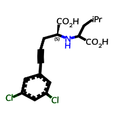 CC(C)CC(N[C@@H](CC#Cc1cc(Cl)cc(Cl)c1)C(=O)O)C(=O)O